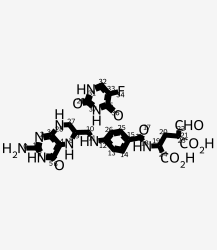 Nc1nc2c(c(=O)[nH]1)NC(CNc1ccc(C(=O)NC(CC(C=O)C(=O)O)C(=O)O)cc1)CN2.O=c1[nH]cc(F)c(=O)[nH]1